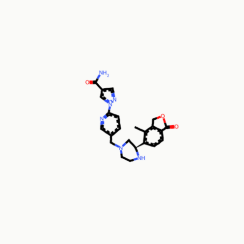 Cc1c([C@@H]2CN(Cc3ccc(-n4cc(C(N)=O)cn4)nc3)CCN2)ccc2c1COC2=O